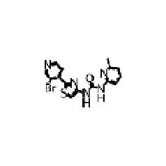 Cc1cccc(NC(=O)Nc2csc(-c3ccncc3Br)n2)n1